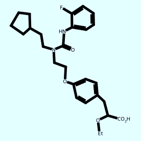 CCOC(Cc1ccc(OCCN(CCC2CCCC2)C(=O)Nc2ccccc2F)cc1)C(=O)O